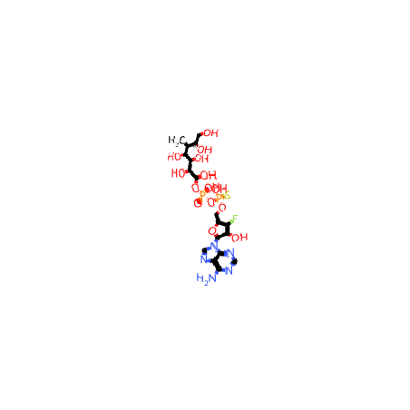 CC(C(O)C(O)C(O)C(O)OP(=O)(O)OP(O)(=S)OCC1OC(n2cnc3c(N)ncnc32)C(O)C1F)[C@H](O)CO